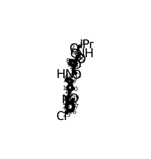 CC(C)C(=O)NS(=O)(=O)c1ccc(C(=O)NC2CC3(C2)CC(c2nc4cc(Cl)ccc4o2)C3)o1